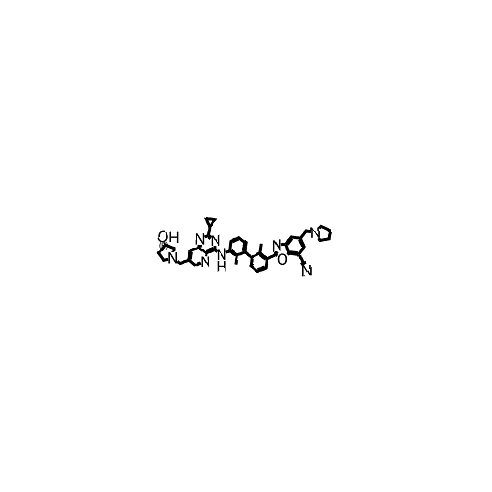 Cc1c(Nc2nc(C3CC3)nc3cc(CN4CC[C@@H](O)C4)cnc23)cccc1-c1cccc(-c2nc3cc(CN4CCCC4)cc(C#N)c3o2)c1C